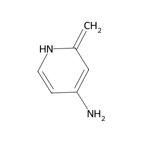 C=C1C=C(N)C=CN1